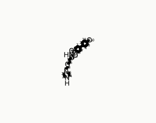 COc1ccc(-c2ccc(S(=O)(=O)NOCCOCCN3CCNCC3)cc2)cc1